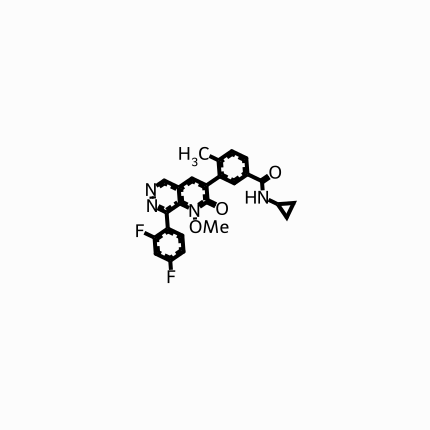 COn1c(=O)c(-c2cc(C(=O)NC3CC3)ccc2C)cc2cnnc(-c3ccc(F)cc3F)c21